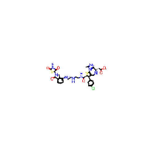 COC(=O)C[C@@H]1N=Cc2c(sc(C(=O)NCCNCCNc3cccc4c3CN(C3SC(=O)NC3=O)C4=O)c2-c2ccc(Cl)cc2)-n2c(C)nnc21